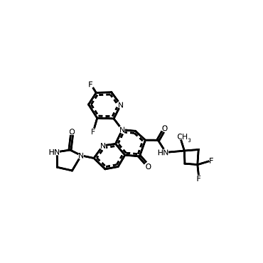 CC1(NC(=O)c2cn(-c3ncc(F)cc3F)c3nc(N4CCNC4=O)ccc3c2=O)CC(F)(F)C1